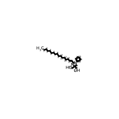 CCCCCCCCCCCCCCCC=CC1=NC(CO)(CO)CN1c1ccccc1